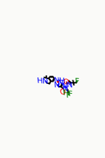 CC(C)(CF)c1coc(-n2c3nc(Nc4ccc5c(c4)CCNC5(C)C)ncc3c(=O)n2CC(F)(F)F)n1